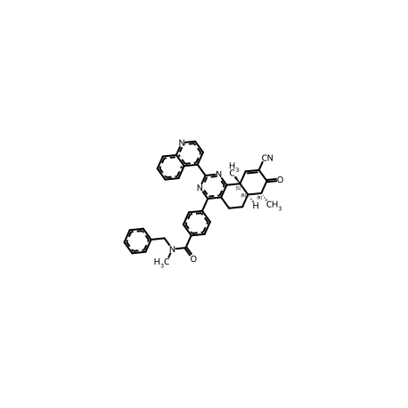 C[C@H]1C(=O)C(C#N)=C[C@@]2(C)c3nc(-c4ccnc5ccccc45)nc(-c4ccc(C(=O)N(C)Cc5ccccc5)cc4)c3CC[C@H]12